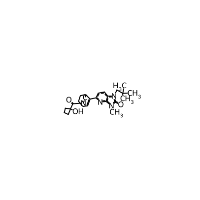 Cn1c(=O)n(CC(C)(C)C)c2ccc(C3=CC4CCC3CN4C(=O)C3(O)CCC3)nc21